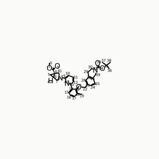 COC(=O)[C@]12C[C@H]1CN(c1cccc(-c3cccc(C)c3OCc3ccc4c(c3)CCN(C(=O)OC(C)(C)C)C4)n1)C2